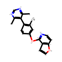 Cc1ncnc(C)c1-c1ccc(Oc2nccc3occc23)cc1C#N